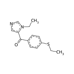 CCSc1ccc(C(=O)c2cncn2CC)cc1